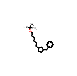 CC(C)(C)OCCCCCCC1CCC(Cc2ccccc2)C1